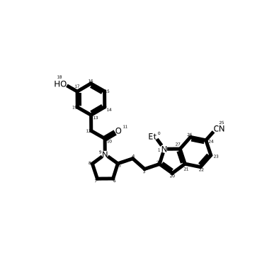 CCn1c(CCC2CCCN2C(=O)Cc2cccc(O)c2)cc2ccc(C#N)cc21